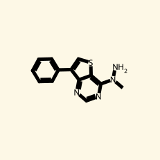 CN(N)c1ncnc2c(-c3ccccc3)csc12